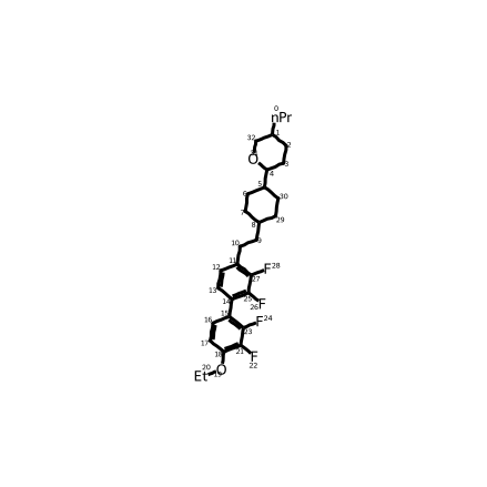 CCCC1CCC(C2CCC(CCc3ccc(-c4ccc(OCC)c(F)c4F)c(F)c3F)CC2)OC1